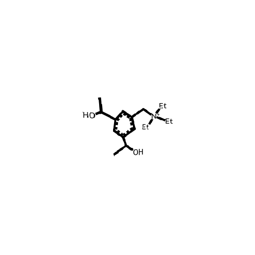 CC[N+](CC)(CC)Cc1cc(C(C)O)cc(C(C)O)c1